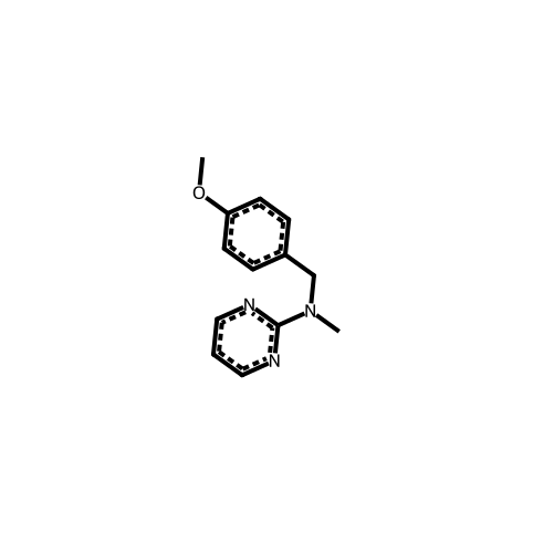 COc1ccc(CN(C)c2ncccn2)cc1